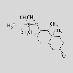 C[C@H]1[C@@H](O[Si](C)(C)C(C)(C)C)CCC2=CC(=O)CC[C@@]21C